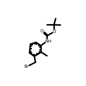 Cc1c(CBr)cccc1NC(=O)OC(C)(C)C